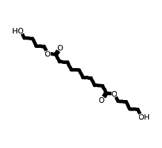 O=C(CCCCCCCCC(=O)OCCCCO)OCCCCO